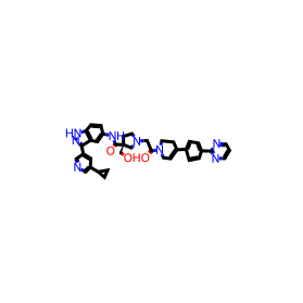 O=C(CN1CC[C@@](CO)(C(=O)Nc2ccc3[nH]nc(-c4cncc(C5CC5)c4)c3c2)C1)N1CC=C(c2ccc(-c3ncccn3)cc2)CC1